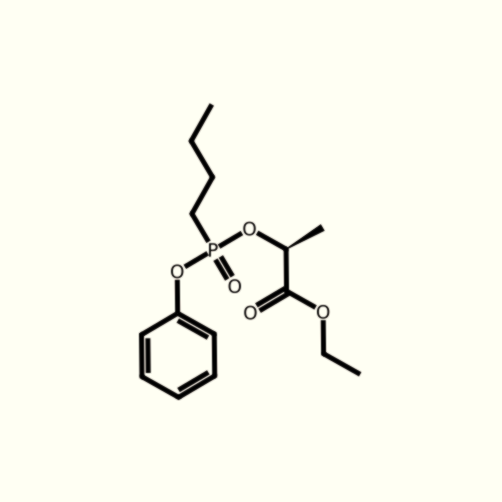 CCCCP(=O)(Oc1ccccc1)O[C@@H](C)C(=O)OCC